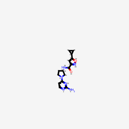 Nc1nccc(N2CC[C@H](NC(=O)c3cc(C4CC4)on3)C2)n1